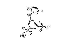 O=S(=O)(O)c1cc(NN2N=C(F)C=[C]N2)cc(S(=O)(=O)O)c1